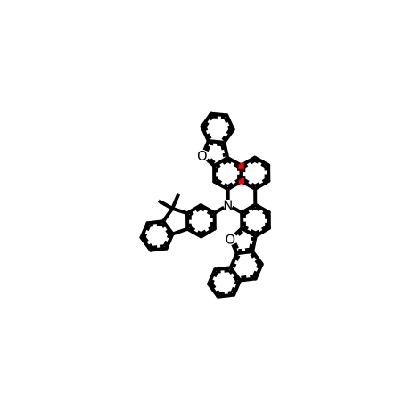 CC1(C)c2ccccc2-c2ccc(N(c3ccc4c(c3)oc3ccccc34)c3c(-c4ccccc4)ccc4c3oc3c5ccccc5ccc43)cc21